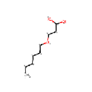 CCCCCCOCCC(O)O